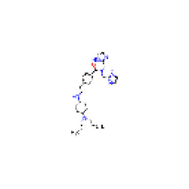 CCCN(CCC)C1CCC(NCCc2ccc(C(=O)N(Cc3ncc[nH]3)Cc3ncc[nH]3)cc2)CC1